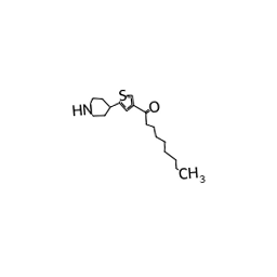 CCCCCCCCC(=O)c1csc(C2CCNCC2)c1